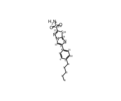 CCCCCc1ccc(-c2cn3nc(S(N)(=O)=O)sc3n2)cc1